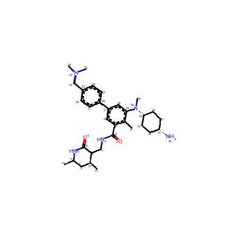 Cc1c(C(=O)NCC2C(=O)NC(C)CC2C)cc(-c2ccc(CN(C)C)cc2)cc1N(C)[C@H]1CC[C@@H](N)CC1